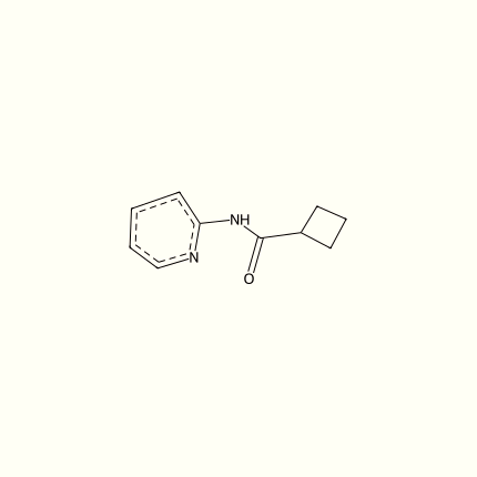 O=C(Nc1ccccn1)C1CCC1